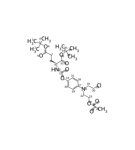 CC(C)(C)OC(=O)CC[C@H](NC(=O)Oc1ccc(N(CCCl)CCOS(C)(=O)=O)cc1)C(=O)OC(C)(C)C